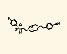 N#Cc1ccc(CCN2CC3CN(CCNS(=O)(=O)c4ccc(F)cc4)CC(C2)O3)cc1